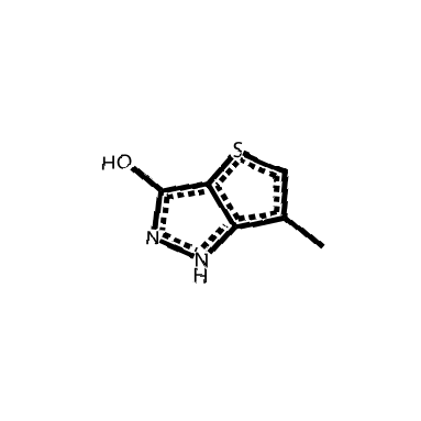 Cc1csc2c(O)n[nH]c12